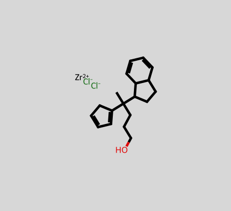 CC(CCCO)(C1=CC=CC1)C1CCC2C=CC=CC21.[Cl-].[Cl-].[Zr+2]